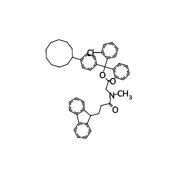 CN(CC(=O)OC(c1ccccc1)(c1ccc(C2CCCCCCCCC2)cc1)c1ccccc1Cl)C(=O)CCC1c2ccccc2-c2ccccc21